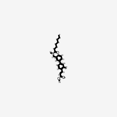 CCCCCCCC(=O)N(C)Cc1cccc(-c2ccc(C=CC(=O)OC)c(F)c2)c1